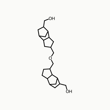 OCC1CC2CC1C1CC(COCC3CCC4C5CC(CO)C(C5)C34)CC21